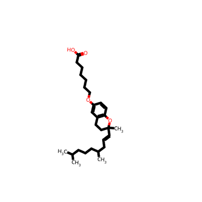 CC(C)CCCC(C)CC=CC1(C)CCc2cc(OCCCCCCC(=O)O)ccc2O1